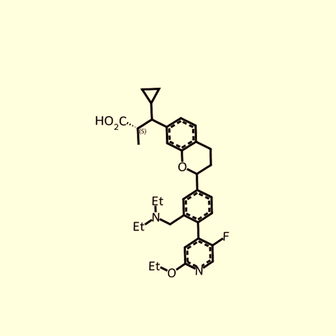 CCOc1cc(-c2ccc(C3CCc4ccc(C(C5CC5)[C@H](C)C(=O)O)cc4O3)cc2CN(CC)CC)c(F)cn1